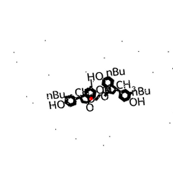 CCCCc1cc(C(C)(CC(=O)OCCOC(=O)CC(C)(c2ccc(O)c(CCCC)c2)c2ccc(O)c(CCCC)c2)c2ccc(O)c(I)c2)ccc1O